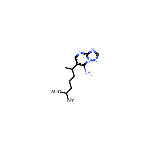 CCCC(CCCC(C)c1cnc2ncnn2c1N)OC